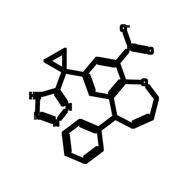 O=[N+]([O-])c1cc(C2(c3nnn[nH]3)CC2)cc2c1OCC=CC2c1ccccc1